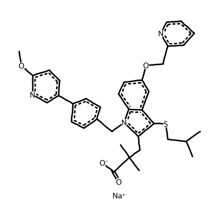 COc1ccc(-c2ccc(Cn3c(CC(C)(C)C(=O)[O-])c(SCC(C)C)c4cc(OCc5ccccn5)ccc43)cc2)cn1.[Na+]